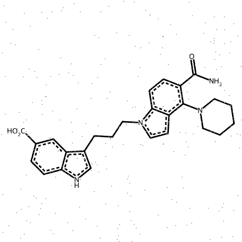 NC(=O)c1ccc2c(ccn2CCCc2c[nH]c3ccc(C(=O)O)cc23)c1N1CCCCC1